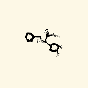 NC(=O)C(NCc1ccccc1)c1ccc(F)c(F)c1